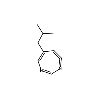 CC(C)CC1=CN=CN=C=C1